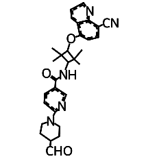 CC1(C)C(NC(=O)c2ccc(N3CCC(C=O)CC3)nc2)C(C)(C)C1Oc1ccc(C#N)c2ncccc12